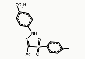 CC(=O)C(=NNc1ccc(C(=O)O)cc1)S(=O)(=O)c1ccc(C)cc1